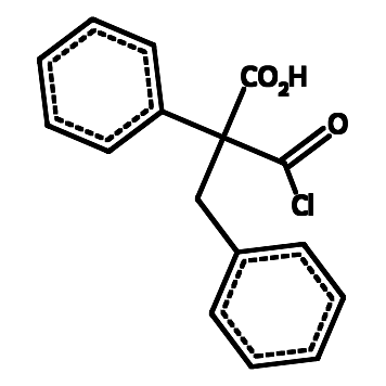 O=C(O)C(Cc1ccccc1)(C(=O)Cl)c1ccccc1